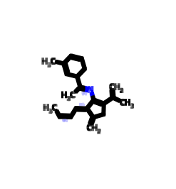 C=C(C)C1=C(/N=C(\C)C2C=C(C)C=CC2)/C(=C/C=C\C)C(=C)C1